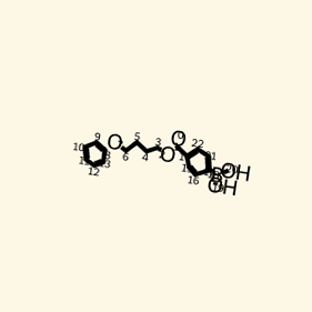 O=C(OCCCCOc1ccccc1)c1ccc(B(O)O)cc1